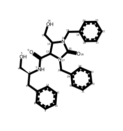 O=C(N[C@H](CO)Cc1ccccc1)C1C(CO)N(Cc2ccccc2)C(=O)N1Cc1ccccc1